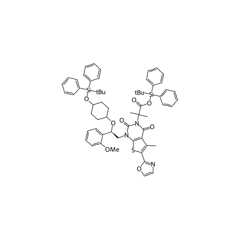 COc1ccccc1[C@H](Cn1c(=O)n(C(C)(C)C(=O)O[Si](c2ccccc2)(c2ccccc2)C(C)(C)C)c(=O)c2c(C)c(-c3ncco3)sc21)OC1CCC(O[Si](c2ccccc2)(c2ccccc2)C(C)(C)C)CC1